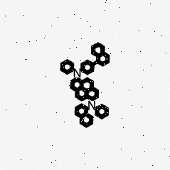 c1ccc(N(c2ccc(-c3cccc4ccccc34)cc2)c2ccc3ccc4c(N(c5ccccc5)c5cccc6ccccc56)ccc5ccc2c3c54)cc1